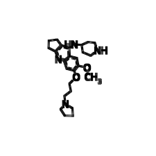 COc1cc2c(NC3CCNCC3)c3c(nc2cc1OCCCN1CCCC1)CCC3